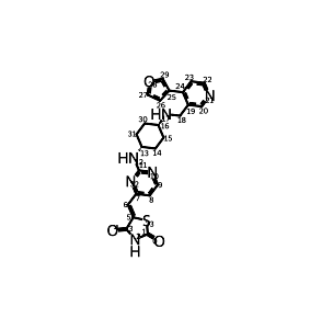 O=C1NC(=O)/C(=C/c2ccnc(N[C@H]3CC[C@H](NCc4cnccc4-c4ccoc4)CC3)n2)S1